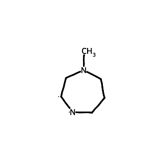 CN1C[CH][N]CCC1